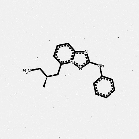 C[C@@H](CN)Cc1cccc2nc(Nc3ccccc3)nn12